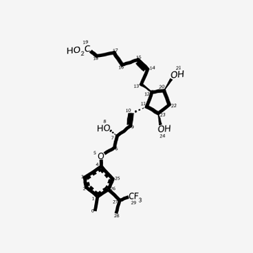 Cc1ccc(OC[C@H](O)/C=C/[C@@H]2[C@@H](C/C=C\CCCC(=O)O)[C@@H](O)C[C@H]2O)cc1C(C)C(F)(F)F